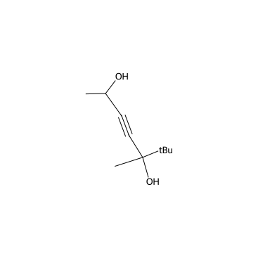 CC(O)C#CC(C)(O)C(C)(C)C